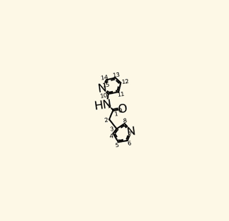 O=C(Cc1cccnc1)Nc1ccccn1